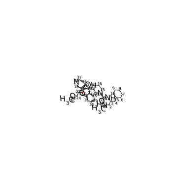 CNC[C@H](CC1CCCCC1)NC(=O)N1CCC[C@@H]([C@@](O)(CCCCOC)c2ccccc2Oc2cccnc2)C1